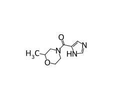 CC1CN(C(=O)c2cnc[nH]2)CCO1